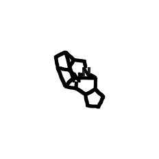 C1CC2C(C1)C1C3C4CC5C6CN(C2C53)N1C64